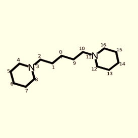 [CH](CCN1CCCCC1)CCN1CCCCC1